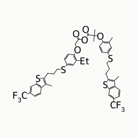 CCc1cc(SCCCc2sc3cc(C(F)(F)F)ccc3c2C)ccc1OCC(=O)OC(=O)C(C)(C)Oc1ccc(SCCCc2sc3cc(C(F)(F)F)ccc3c2C)cc1C